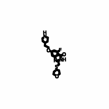 O=c1[nH]c(CSC2CCOCC2)nc2cc(OCCC3CCNCC3)cc(F)c12